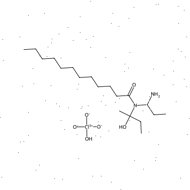 CCCCCCCCCCCC(=O)N(C(N)CC)C(C)(O)CC.[O-][Cl+3]([O-])([O-])O